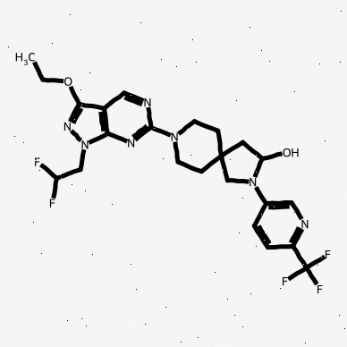 CCOc1nn(CC(F)F)c2nc(N3CCC4(CC3)CC(O)N(c3ccc(C(F)(F)F)nc3)C4)ncc12